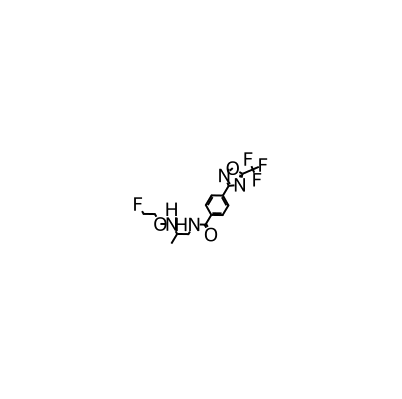 CC(CNC(=O)c1ccc(-c2noc(C(F)(F)F)n2)cc1)NOCCF